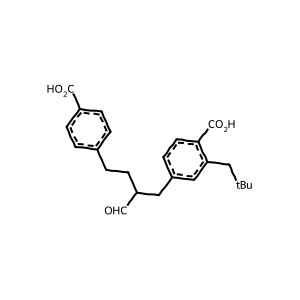 CC(C)(C)Cc1cc(CC(C=O)CCc2ccc(C(=O)O)cc2)ccc1C(=O)O